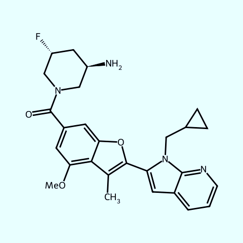 COc1cc(C(=O)N2C[C@H](N)C[C@@H](F)C2)cc2oc(-c3cc4cccnc4n3CC3CC3)c(C)c12